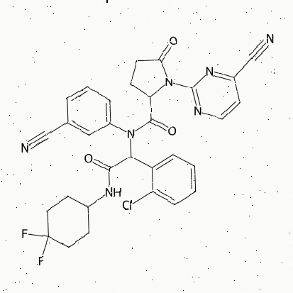 N#Cc1cccc(N(C(=O)C2CCC(=O)N2c2nccc(C#N)n2)C(C(=O)NC2CCC(F)(F)CC2)c2ccccc2Cl)c1